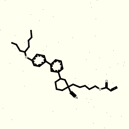 C=CC(=O)OCCCCCC1(C#N)CCCC(c2cccc(-c3ccc(OC(CCC)CCCC)cc3)c2)C1